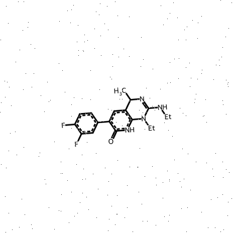 CCNC1=NC(C)c2cc(-c3ccc(F)c(F)c3)c(=O)[nH]c2N1CC